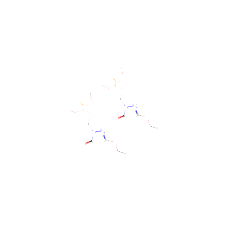 CCOc1nn(CSP(=S)(OC)OC)c(=O)s1.CCOc1nn(CSP(=S)(OC)OC)c(=O)s1